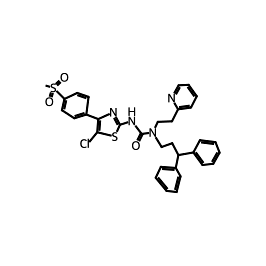 CS(=O)(=O)c1ccc(-c2nc(NC(=O)N(CCc3ccccn3)CCC(c3ccccc3)c3ccccc3)sc2Cl)cc1